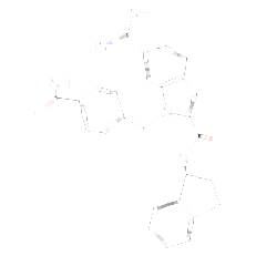 N=C(N)c1ccc2cc(C(=O)N[C@H]3CCc4ccccc43)n(Cc3ccc(C(N)=O)cc3)c2c1